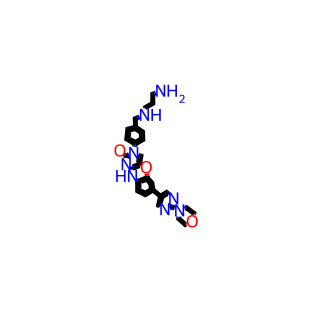 NCCCNCc1ccc(-n2cc3c(nc2=O)Nc2ccc(-c4cnc(N5CCOCC5)nc4)cc2O3)cc1